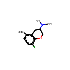 CCCN(CCC)[C@H]1COc2c(F)ccc(C=O)c2C1